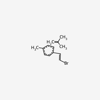 C=C(C)C.Cc1ccc(C=CBr)cc1